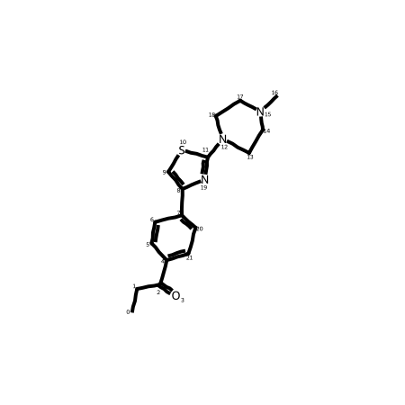 CCC(=O)c1ccc(-c2csc(N3CCN(C)CC3)n2)cc1